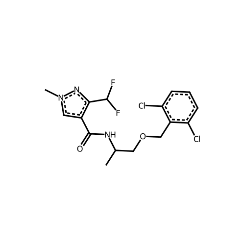 CC(COCc1c(Cl)cccc1Cl)NC(=O)c1cn(C)nc1C(F)F